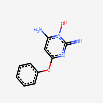 N=c1nc(Oc2ccccc2)cc(N)n1O